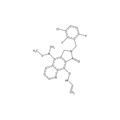 C=CPOc1c2c(c(N(C)SC)c3cccnc13)CN(Cc1c(F)ccc(Cl)c1F)C2=O